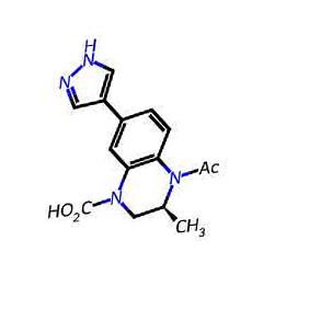 CC(=O)N1c2ccc(-c3cn[nH]c3)cc2N(C(=O)O)C[C@@H]1C